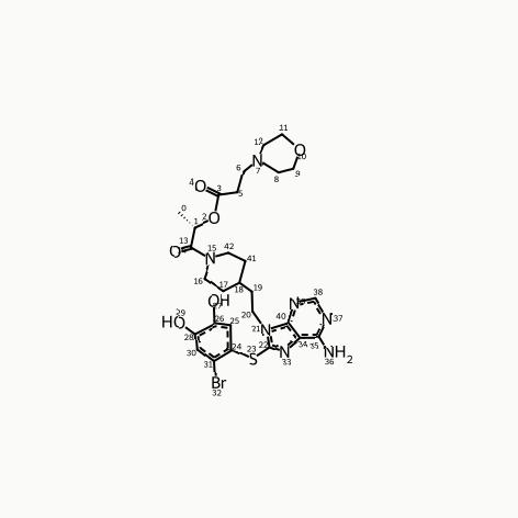 C[C@H](OC(=O)CCN1CCOCC1)C(=O)N1CCC(CCn2c(Sc3cc(O)c(O)cc3Br)nc3c(N)ncnc32)CC1